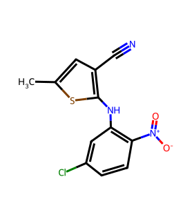 Cc1cc(C#N)c(Nc2cc(Cl)ccc2[N+](=O)[O-])s1